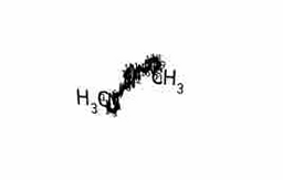 C[C@H]1CCCN1CCCCN1CCN(CCN2CCC[C@@H]2C)C1